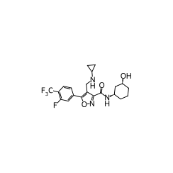 O=C(N[C@@H]1CCC[C@H](O)C1)c1noc(-c2ccc(C(F)(F)F)c(F)c2)c1CNC1CC1